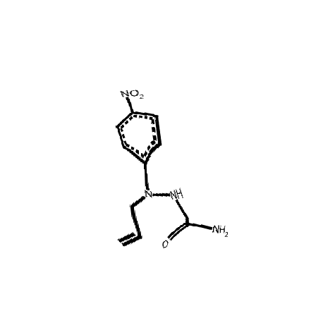 C=CCN(NC(N)=O)c1ccc([N+](=O)[O-])cc1